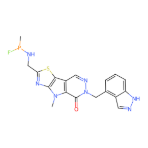 Cn1c2nc(CNP(C)F)sc2c2cnn(Cc3cccc4[nH]ncc34)c(=O)c21